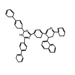 C1=CCCC(C2=NC=C(C3=CC=C(C4=NC(C5C=CC(C6C=CC=CC6)=CC5)NC(c5ccc(C6=CCCC=C6)cc5)=N4)CC3)C(c3cccc4ccccc34)C2)=C1